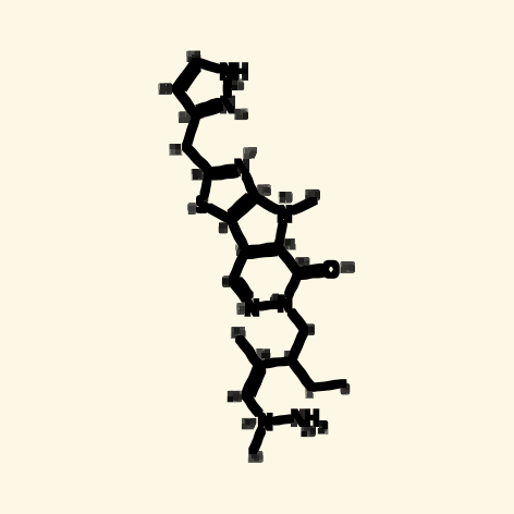 CCC(Cn1ncc2c3sc(Cc4cc[nH]n4)nc3n(C)c2c1=O)/C(C)=C\N(C)N